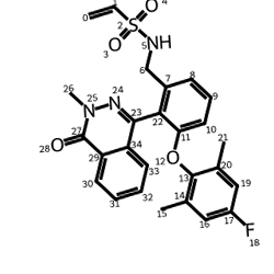 C=CS(=O)(=O)NCc1cccc(Oc2c(C)cc(F)cc2C)c1-c1nn(C)c(=O)c2ccccc12